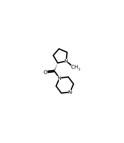 CN1CCC[C@H]1C(=O)N1CC[N]CC1